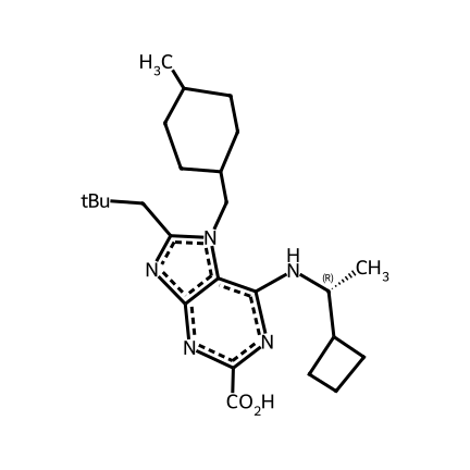 CC1CCC(Cn2c(CC(C)(C)C)nc3nc(C(=O)O)nc(N[C@H](C)C4CCC4)c32)CC1